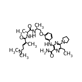 CCc1nc(C(N)=O)c(Nc2cccc(OC[C@H](C)NC(=O)[C@H](C)NC(=O)/C(C)=C/CN(C)C)c2)nc1N1CCCC1